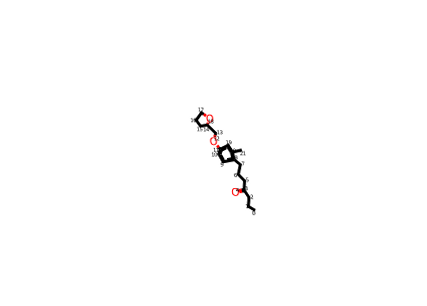 CCCC(=O)CCCc1ccc(OCC2CCCO2)cc1C